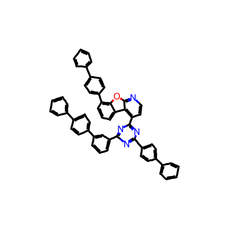 c1ccc(-c2ccc(-c3cccc(-c4nc(-c5ccc(-c6ccccc6)cc5)nc(-c5ccnc6oc7c(-c8ccc(-c9ccccc9)cc8)cccc7c56)n4)c3)cc2)cc1